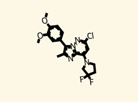 COc1ccc(-c2c(C)nc3c(N4CCC(F)(F)C4)cc(Cl)nn23)cc1OC